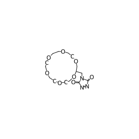 O=C1N=NC(=O)N1CC1COCCOCCOCCOCCOCCO1